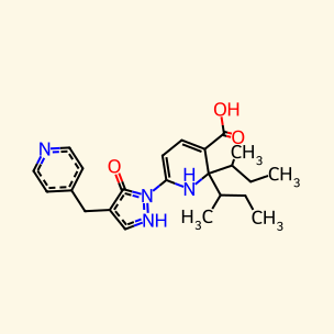 CCC(C)C1(C(C)CC)NC(n2[nH]cc(Cc3ccncc3)c2=O)=CC=C1C(=O)O